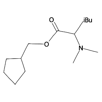 CCC(C)C(C(=O)OCC1CCCC1)N(C)C